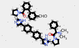 CN(C)[C@@H](C(=O)N1CCC[C@H]1c1ncc(-c2ccc(-c3ccc(-c4cnc([C@@H]5CCCN5C(=O)c5ccccc5-c5cccc(C=O)c5)[nH]4)cc3)cc2)[nH]1)c1ccccc1